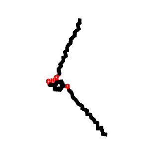 CCCCCCCCCCCCCCCCCCOc1ccc(CO)c(OCCCCCCCCCCCCCCCCCC)c1